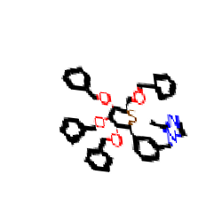 Cc1nccn1Cc1cccc([C@@H]2S[C@H](COCc3ccccc3)[C@@H](OCc3ccccc3)[C@H](OCc3ccccc3)[C@H]2OCc2ccccc2)c1